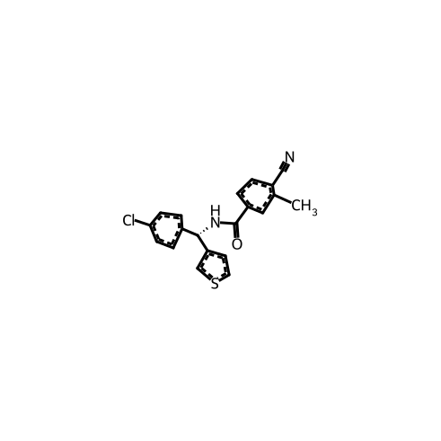 Cc1cc(C(=O)N[C@@H](c2ccc(Cl)cc2)c2ccsc2)ccc1C#N